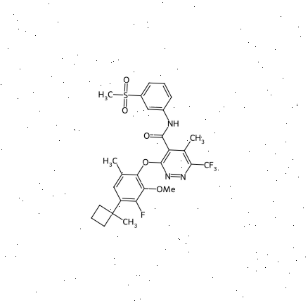 COc1c(F)c(C2(C)CCC2)cc(C)c1Oc1nnc(C(F)(F)F)c(C)c1C(=O)Nc1cccc(S(C)(=O)=O)c1